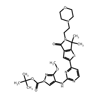 COc1nn(C(=O)OC(C)(C)C)cc1Nc1nccc(-c2cc3c(s2)C(C)(C)N(CCN2CCOCC2)C3=O)n1